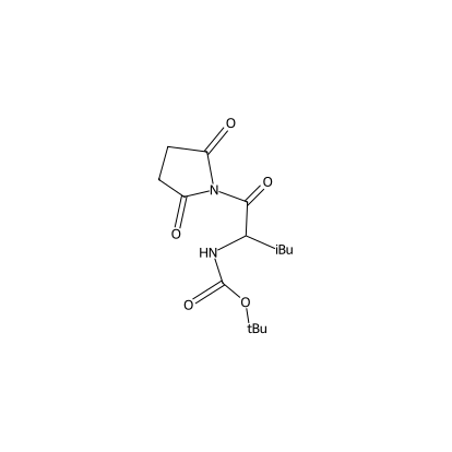 CCC(C)C(NC(=O)OC(C)(C)C)C(=O)N1C(=O)CCC1=O